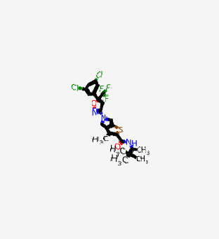 Cc1c(C(=O)NC(C)C(C)(C)C)sc2c1CN(C1=NOC(c3cc(Cl)cc(Cl)c3)(C(F)(F)F)C1)C2